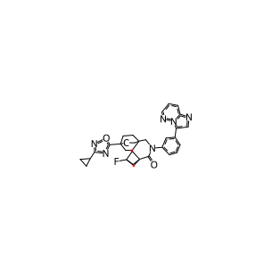 O=C(N(CC12CCC(c3nc(C4CC4)no3)(CC1)CC2)c1cccc(-c2cnc3cccnn23)c1)C12CC(F)(C1)C2